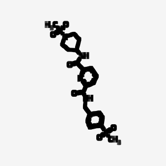 CS(=O)(=O)c1ccc(CNC(=O)c2cccc(C(=O)NC3CCN(S(C)(=O)=O)CC3)n2)cc1